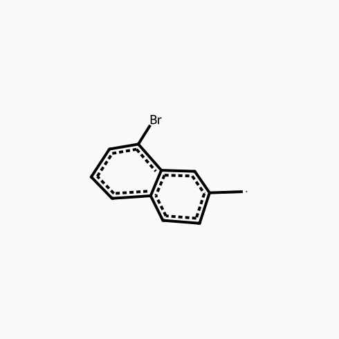 [CH2]c1ccc2cccc(Br)c2c1